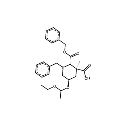 CCOC(C)O[C@H]1CN(Cc2ccccc2)[C@H](C(=O)OCc2ccccc2)[C@@](C)(C(=O)O)C1